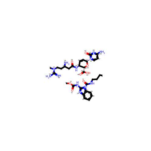 CCCCNC(=O)n1c(NC(=O)OC)nc2ccccc21.CN(CCC(N)CC(=O)N[C@H]1C=C[C@H](n2ccc(N)nc2=O)O[C@@H]1C(=O)O)C(=N)N